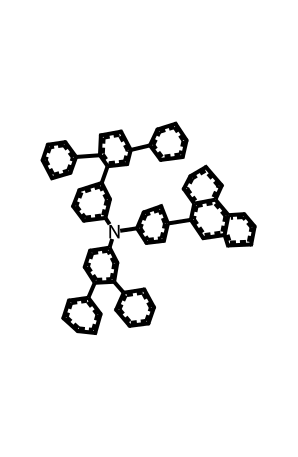 c1ccc(-c2ccc(-c3ccccc3)c(-c3cccc(N(c4ccc(-c5cc6ccccc6c6ccccc56)cc4)c4ccc(-c5ccccc5)c(-c5ccccc5)c4)c3)c2)cc1